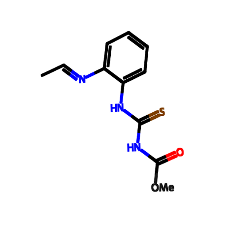 CC=Nc1ccccc1NC(=S)NC(=O)OC